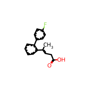 C/C(=C\CC(=O)O)c1ccccc1-c1ccc(F)cc1